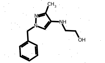 Cc1nn(Cc2ccccc2)cc1NCCO